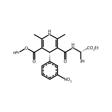 CCCOC(=O)C1=C(C)NC(C)=C(C(=O)N[C@H](C(=O)OCC)C(C)C)[C@@H]1c1cccc([N+](=O)[O-])c1